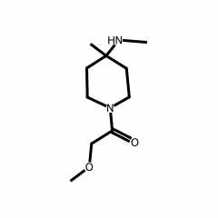 CNC1(C)CCN(C(=O)COC)CC1